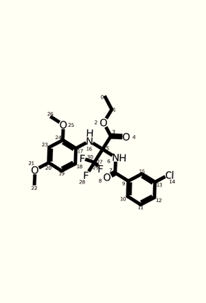 CCOC(=O)C(NC(=O)c1cccc(Cl)c1)(Nc1ccc(OC)cc1OC)C(F)(F)F